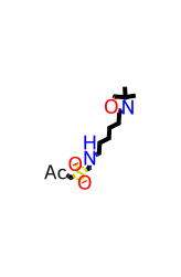 CC(=O)CS(=O)(=O)CNCCCCCC1=NC(C)(C)CO1